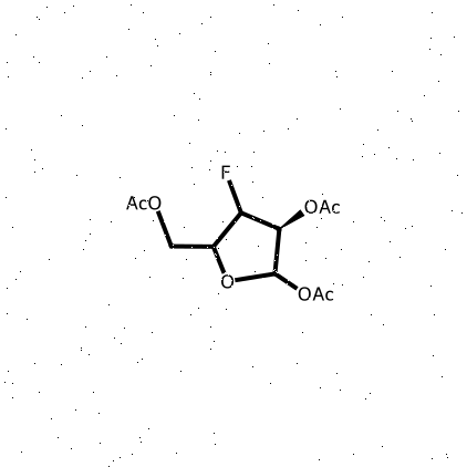 CC(=O)OCC1OC(OC(C)=O)[C@H](OC(C)=O)C1F